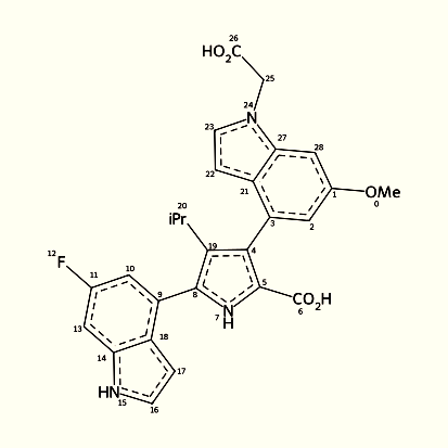 COc1cc(-c2c(C(=O)O)[nH]c(-c3cc(F)cc4[nH]ccc34)c2C(C)C)c2ccn(CC(=O)O)c2c1